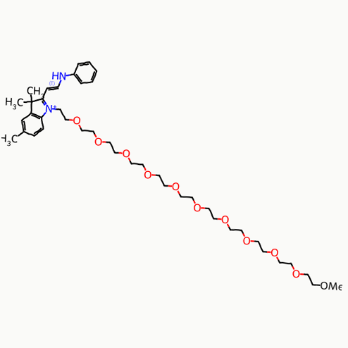 COCCOCCOCCOCCOCCOCCOCCOCCOCCOCCOCC[N+]1=C(/C=C/Nc2ccccc2)C(C)(C)c2cc(C)ccc21